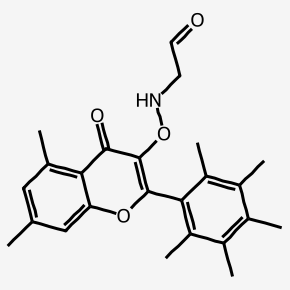 Cc1cc(C)c2c(=O)c(ONCC=O)c(-c3c(C)c(C)c(C)c(C)c3C)oc2c1